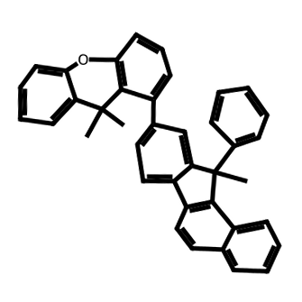 CC1(C)c2ccccc2Oc2cccc(-c3ccc4c(c3)C(C)(c3ccccc3)c3c-4ccc4ccccc34)c21